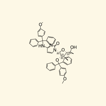 COc1ccc(C(Nc2ccn([C@@H]3O[C@H]([C@H](C)O)[C@@H](C)[C@@H]3OC(c3ccccc3)(c3ccccc3)c3ccc(OC)cc3)c(=O)n2)(c2ccccc2)c2ccccc2)cc1